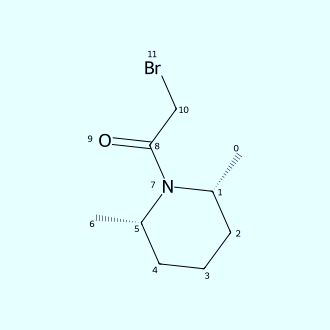 C[C@@H]1CCC[C@H](C)N1C(=O)CBr